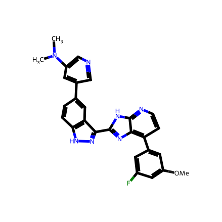 COc1cc(F)cc(-c2ccnc3[nH]c(-c4n[nH]c5ccc(-c6cncc(N(C)C)c6)cc45)nc23)c1